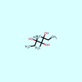 CCC(C)(O)C(C)(O)C(C)(O)CC